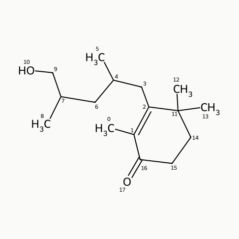 CC1=C(CC(C)CC(C)CO)C(C)(C)CCC1=O